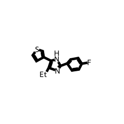 CCc1nc(-c2ccc(F)cc2)[nH]c1-c1ccsc1